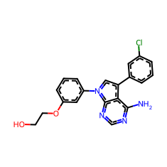 Nc1ncnc2c1c(-c1cccc(Cl)c1)cn2-c1cccc(OCCO)c1